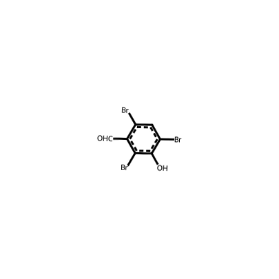 O=Cc1c(Br)cc(Br)c(O)c1Br